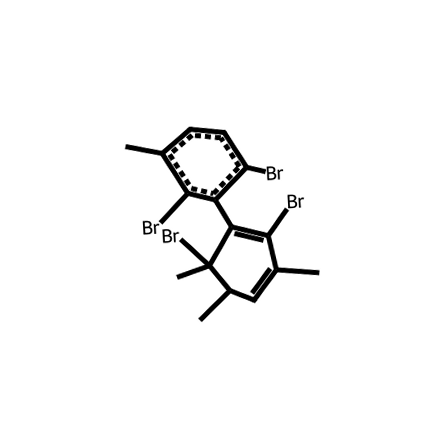 CC1=CC(C)C(C)(Br)C(c2c(Br)ccc(C)c2Br)=C1Br